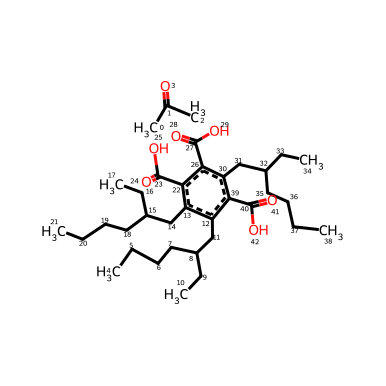 CC(C)=O.CCCCC(CC)Cc1c(CC(CC)CCCC)c(C(=O)O)c(C(=O)O)c(CC(CC)CCCC)c1C(=O)O